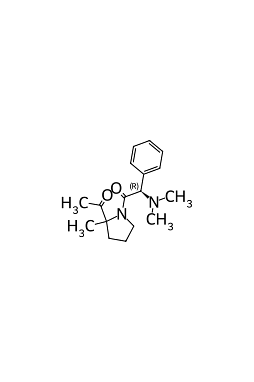 CC(=O)C1(C)CCCN1C(=O)[C@@H](c1ccccc1)N(C)C